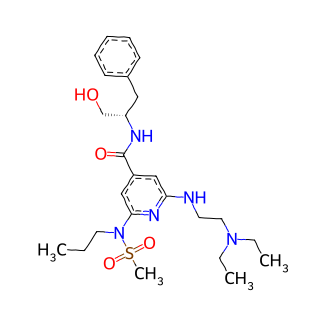 CCCN(c1cc(C(=O)N[C@H](CO)Cc2ccccc2)cc(NCCN(CC)CC)n1)S(C)(=O)=O